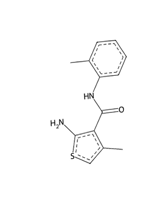 Cc1ccccc1NC(=O)c1c(C)csc1N